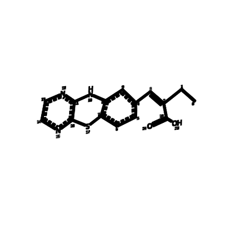 CCC(=Cc1ccc2c(c1)Nc1nccnc1S2)C(=O)O